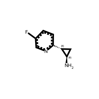 N[C@@H]1C[C@H]1c1ccc(F)cn1